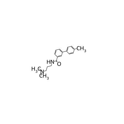 Cc1ccc(-c2cccc(C(=O)NCCCN(C)C)c2)cc1